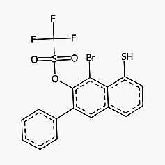 O=S(=O)(Oc1c(-c2ccccc2)cc2cccc(S)c2c1Br)C(F)(F)F